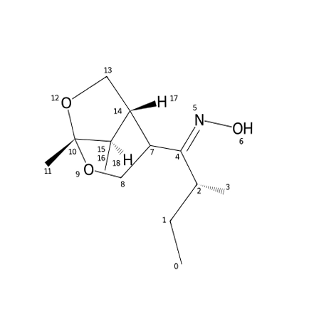 CC[C@@H](C)C(=NO)C1CO[C@]2(C)OC[C@H]1[C@H]2C